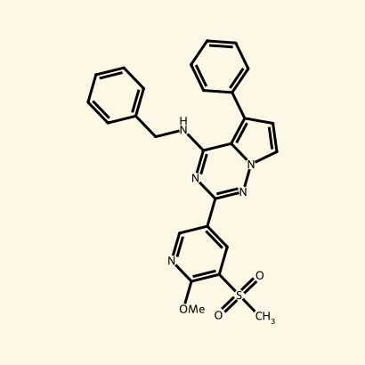 COc1ncc(-c2nc(NCc3ccccc3)c3c(-c4ccccc4)ccn3n2)cc1S(C)(=O)=O